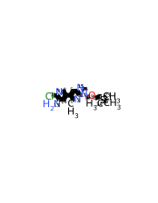 Cc1nc2c(cc1-c1cnc(Cl)c(N)c1)ncn2COCC[Si](C)(C)C